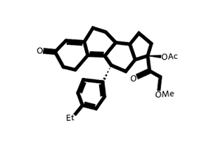 CCc1ccc([C@H]2CC3C(CC[C@]3(OC(C)=O)C(=O)COC)C3CCC4=CC(=O)CCC4=C32)cc1